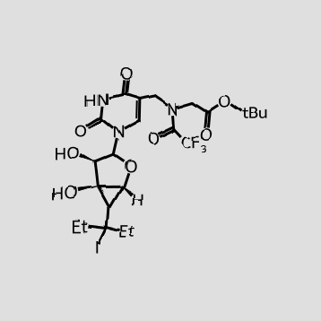 CCC(I)(CC)C1[C@H]2OC(n3cc(CN(CC(=O)OC(C)(C)C)C(=O)C(F)(F)F)c(=O)[nH]c3=O)[C@H](O)[C@@]12O